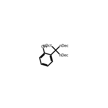 CCCCCCCCCCC(CCCCCCCC)(CCCCCCCCCC)c1ccccc1O